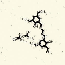 CC(=O)[O-].CC(=O)[O-].CCc1cc(C=NCN=Cc2cc(CC)cc(CC)c2O)c(O)c(CC)c1.[Co+2]